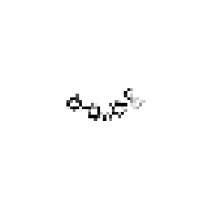 O=[N+]([O-])c1ccc(Oc2ccc(-c3cscn3)cc2)nc1